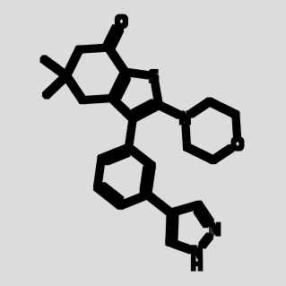 CC1(C)CC(=O)c2sc(N3CCOCC3)c(-c3cccc(-c4cn[nH]c4)c3)c2C1